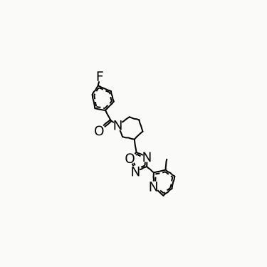 Cc1cccnc1-c1noc(C2CCCN(C(=O)c3ccc(F)cc3)C2)n1